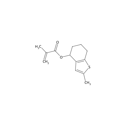 C=C(C)C(=O)OC1CCCc2sc(C)cc21